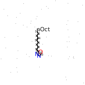 CCCCCCCCCCCC=CCCCCc1nnco1